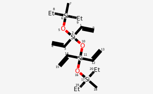 C=C[Si](C=C)(O[Si](C)(CC)CC)O[Si](C=C)(C=C)O[Si](C)(CC)CC